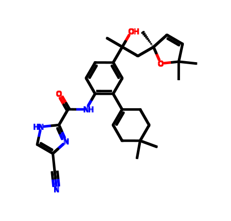 CC1(C)CC=C(c2cc(C(C)(O)C[C@@]3(C)C=CC(C)(C)O3)ccc2NC(=O)c2nc(C#N)c[nH]2)CC1